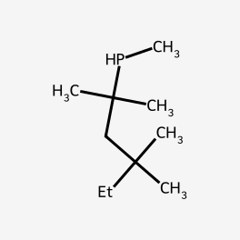 CCC(C)(C)CC(C)(C)PC